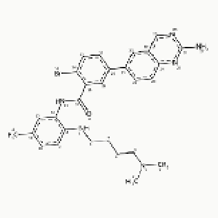 CN(C)CCCCNc1ccc(C(F)(F)F)cc1NC(=O)c1cc(-c2ccc3nc(N)ncc3c2)ccc1Br